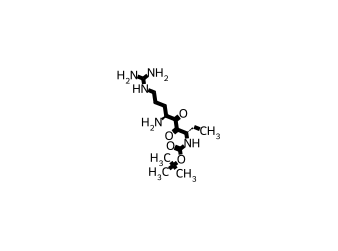 CC[C@H](NC(=O)OC(C)(C)C)C(=O)C(=O)[C@@H](N)CCCNC(N)N